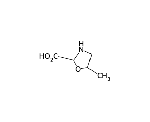 CC1CNC(C(=O)O)O1